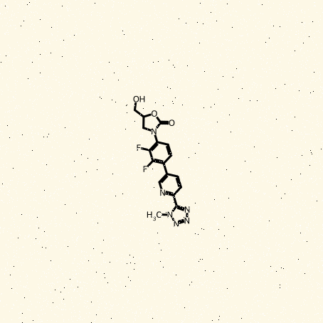 Cn1nnnc1-c1ccc(-c2ccc(N3CC(CO)OC3=O)c(F)c2F)cn1